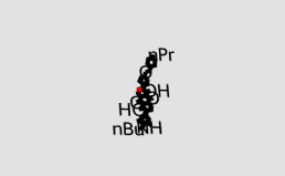 CCCCNc1c(C)cc(-c2ccc3c(c2O)C(=O)c2ccc(-c4ccc(OCC5CCC(CCC)CC5)cc4)c(O)c2C3=O)cc1C